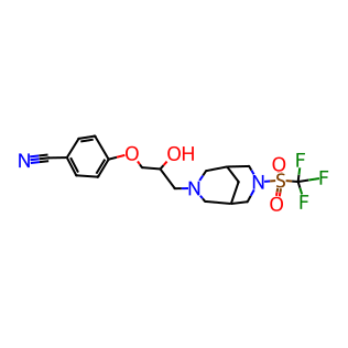 N#Cc1ccc(OCC(O)CN2CC3CC(C2)CN(S(=O)(=O)C(F)(F)F)C3)cc1